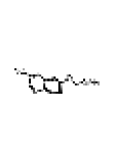 CSCOc1ccc2ccc(C#N)cc2c1